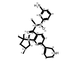 C[C@H]1CC(C)(C)[N+](C)(c2nc(C3=CCCNC3)ccc2C(=O)N(C)[S+]([O-])c2cccc(N)n2)C1